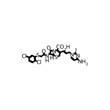 Nc1cc[n+](CC=CC2=C(C(=O)O)N3C(=O)[C@@H](NC(=O)CSc4cc(Cl)ccc4Cl)[C@H]3SC2)c(I)n1